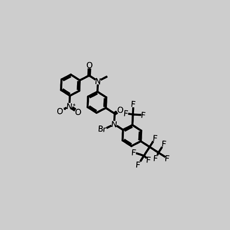 CN(C(=O)c1cccc([N+](=O)[O-])c1)c1cccc(C(=O)N(Br)c2ccc(C(F)(C(F)(F)F)C(F)(F)F)cc2C(F)(F)F)c1